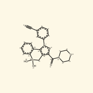 N#Cc1cccc(-n2nc(C(=O)N3CCOCC3)c3c2-c2ccccc2S(O)(O)C3)c1